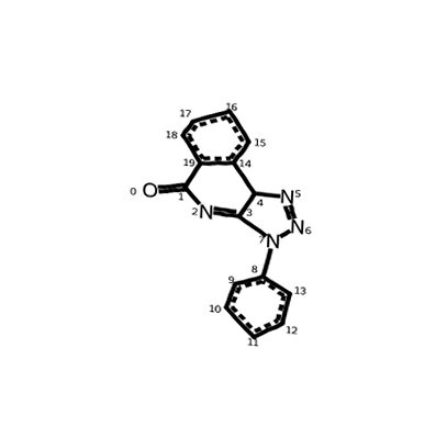 O=C1N=C2C(N=NN2c2ccccc2)c2ccccc21